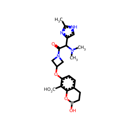 Cc1nc(C(C(=O)N2CC(Oc3ccc4c(c3C(=O)O)OB(O)CC4)C2)N(C)C)c[nH]1